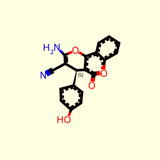 N#CC1=C(N)Oc2c(c(=O)oc3ccccc23)[C@H]1c1ccc(O)cc1